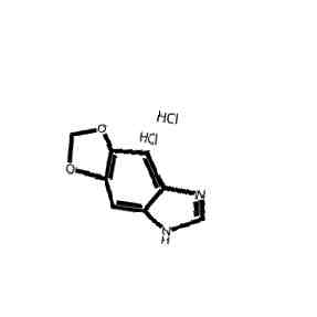 Cl.Cl.c1nc2cc3c(cc2[nH]1)OCO3